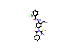 COc1cc(N(C(=O)C2CCCCC2)C(N)=S)ccc1NC(=O)c1ccccc1Cl